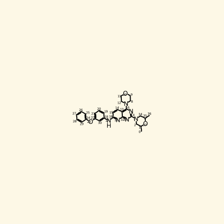 CC1CN(c2nc(N3CCOCC3)c3ccc(Nc4cccc(Oc5ccccc5)c4)nc3n2)CC(C)O1